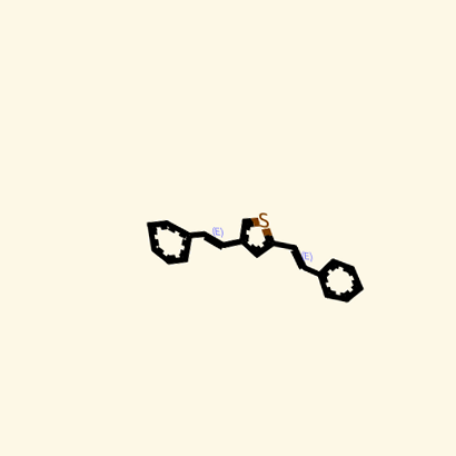 C(=C\c1csc(/C=C/c2ccccc2)c1)/c1ccccc1